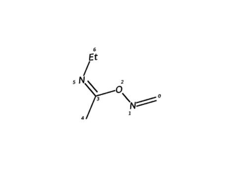 C=NO/C(C)=N\CC